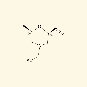 C=C[C@H]1CN(CC(C)=O)C[C@@H](C)O1